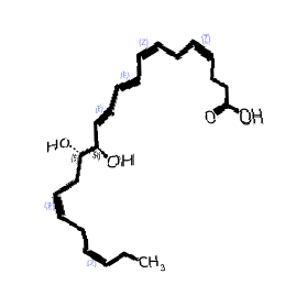 CC/C=C\C/C=C\C[C@H](O)[C@H](O)/C=C/C=C/C=C\C/C=C\CCC(=O)O